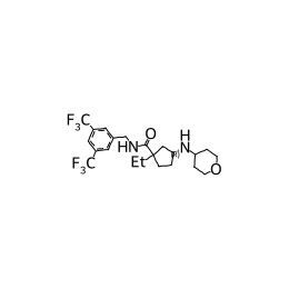 CCC1(C(=O)NCc2cc(C(F)(F)F)cc(C(F)(F)F)c2)CC[C@@H](NC2CCOCC2)C1